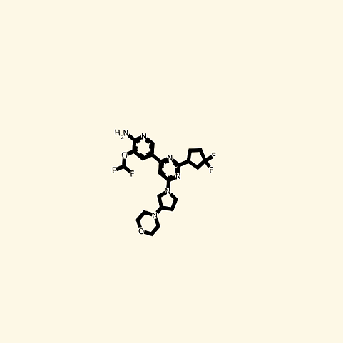 Nc1ncc(-c2cc(N3CCC(N4CCOCC4)C3)nc(C3CCC(F)(F)C3)n2)cc1OC(F)F